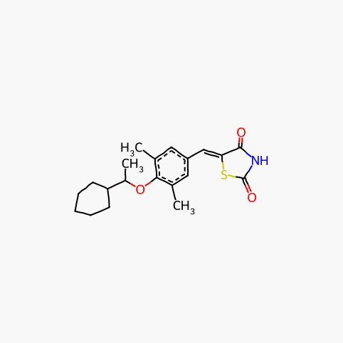 Cc1cc(/C=C2\SC(=O)NC2=O)cc(C)c1OC(C)C1CCCCC1